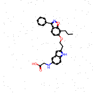 CCCc1c(OCCc2cc3cc(NCC(=O)O)ccc3[nH]2)ccc2c(-c3ccccc3)noc12